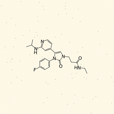 CCNC(=O)CCn1cc(-c2ccnc(NC(C)C)c2)n(-c2ccc(F)cc2)c1=O